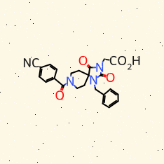 N#Cc1ccc(C(=O)N2CCC3(CC2)C(=O)N(CC(=O)O)C(=O)N3Cc2ccccc2)cc1